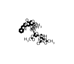 CC[C@@]1(OP(=O)(O)OC[C@H]2O[C@@H](n3cnc4c(NC(C)=O)nc(Cl)nc43)C[C@@H]2OC(C)=O)C(=O)OCc2c1cc1n(c2=O)Cc2cc3ccccc3nc2-1